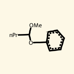 CCCC(OC)Oc1[c]cccc1